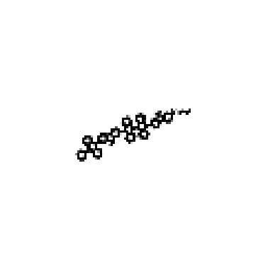 CCCCOc1ccc2c(c1)C(C)(C)c1cc(-c3c4ccccc4c(-c4c5ccccc5c(-c5ccc6c(c5)C(C)(C)c5cc(-c7c8ccccc8c(-c8ccccc8)c8ccccc78)ccc5-6)c5ccccc45)c4ccccc34)ccc1-2